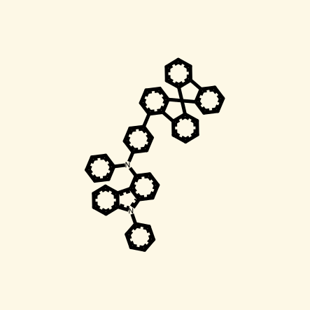 c1ccc(N(c2ccc(-c3cccc4c3-c3ccccc3C43c4ccccc4-c4ccccc43)cc2)c2cccc3c2c2ccccc2n3-c2ccccc2)cc1